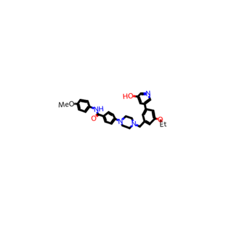 CCOc1cc(CN2CCN(c3ccc(C(=O)Nc4ccc(OC)cc4)cc3)CC2)cc(-c2cncc(O)c2)c1